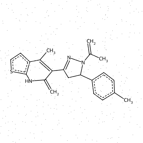 C=C1Nc2sccc2C(C)=C1C1=NN(C(=C)C)C(c2ccc(C)cc2)C1